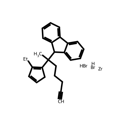 Br.Br.C#CCCCC(C)(C1=C(CC)C=CC1)C1c2ccccc2-c2ccccc21.[Zr]